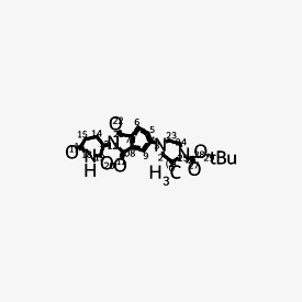 C[C@H]1CN(c2ccc3c(c2)C(=O)N(C2CCC(=O)NC2=O)C3=O)CCN1C(=O)OC(C)(C)C